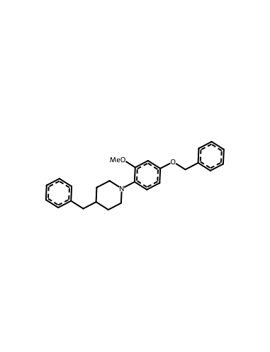 COc1cc(OCc2ccccc2)ccc1N1CCC(Cc2ccccc2)CC1